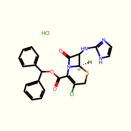 Cl.O=C(OC(c1ccccc1)c1ccccc1)C1=C(Cl)CS[C@@H]2C(Nc3ncc[nH]3)C(=O)N12